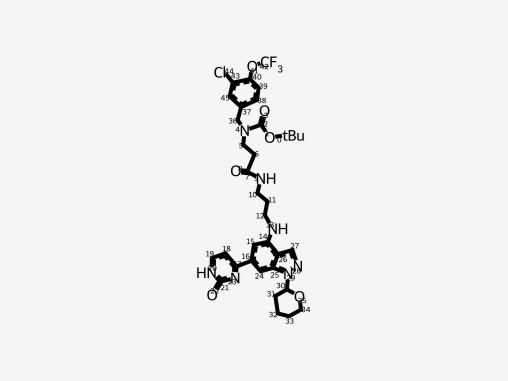 CC(C)(C)OC(=O)N(CCC(=O)NCCCNc1cc(-c2cc[nH]c(=O)n2)cc2c1cnn2C1CCCCO1)Cc1ccc(OC(F)(F)F)c(Cl)c1